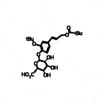 CC(C)(C)Oc1cc(/C=C/COC(=O)C(C)(C)C)ccc1O[C@@H]1O[C@H](C(=O)O)[C@@H](O)[C@H](O)[C@H]1O